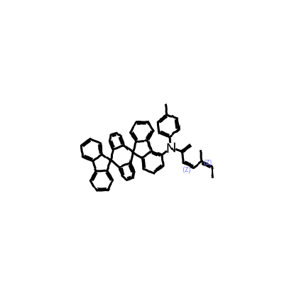 C=C(/C=C\C(C)=C/C)N(c1ccc(C)cc1)c1cccc2c1-c1ccccc1C21c2ccccc2C2(c3ccccc3-c3ccccc32)c2ccccc21